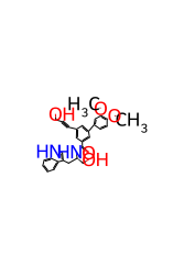 COc1ccc(-c2cc(C#CCO)cc(C(=O)N[C@@H](CO)Cc3c[nH]c4ccccc34)c2)cc1OC